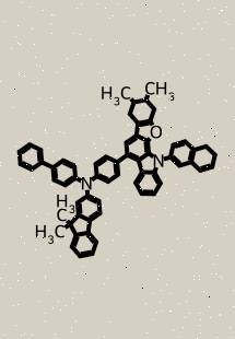 CC1Cc2oc3c(cc(-c4ccc(N(c5ccc(-c6ccccc6)cc5)c5ccc6c(c5)C(C)(C)c5ccccc5-6)cc4)c4c5ccccc5n(-c5ccc6c(c5)C=CCC6)c34)c2CC1C